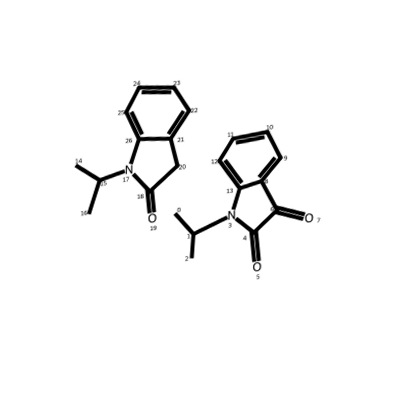 CC(C)N1C(=O)C(=O)c2ccccc21.CC(C)N1C(=O)Cc2ccccc21